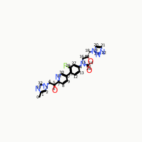 Cc1cn(CC(=O)c2ccc(-c3ccc(N4C[C@H](Cn5ccnn5)OC4=O)cc3F)cn2)cn1